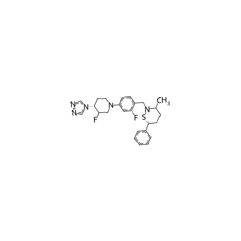 CC1CCC(c2ccccc2)SN1Cc1ccc(N2CC[C@@H](n3cnnc3)C(F)C2)cc1F